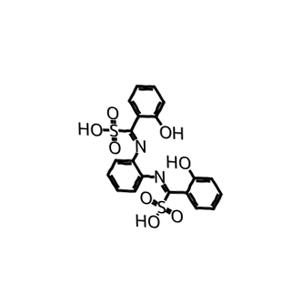 O=S(=O)(O)C(=Nc1ccccc1N=C(c1ccccc1O)S(=O)(=O)O)c1ccccc1O